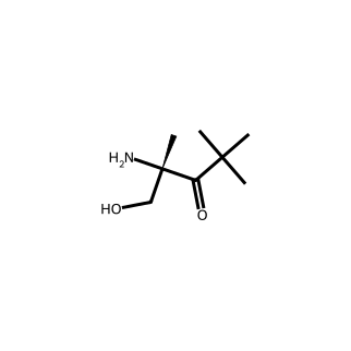 CC(C)(C)C(=O)[C@@](C)(N)CO